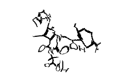 CCc1ccc(F)cc1[C@@H](O)Cn1c(=O)n(C(C)(C)C(=O)O)c(=O)c2c(C)c(-n3nccn3)sc21